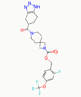 O=C(OCc1ccc(OC(F)(F)F)cc1F)N1CC2(CCN(C(=O)C3CCc4[nH]nnc4C3)CC2)C1